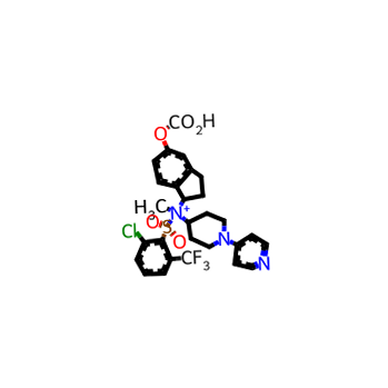 C[N+](C1CCN(c2ccncc2)CC1)(C1CCc2cc(OC(=O)O)ccc21)S(=O)(=O)c1c(Cl)cccc1C(F)(F)F